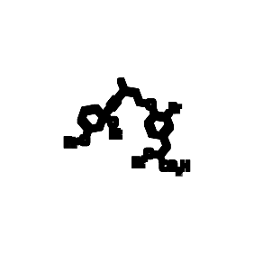 CCOC1=CC=CC(C#C/C(C)=C\COc2ccc(C[C@H](OCC)C(=O)O)cc2Br)(OCC)C1